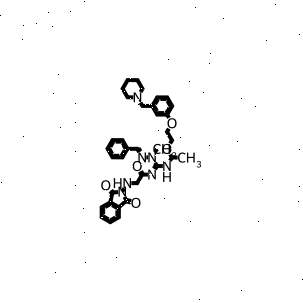 CC(NC(=NC(=O)CNN1C(=O)c2ccccc2C1=O)N(C)N=Cc1ccccc1)OCCOc1cccc(CN2CCCCC2)c1